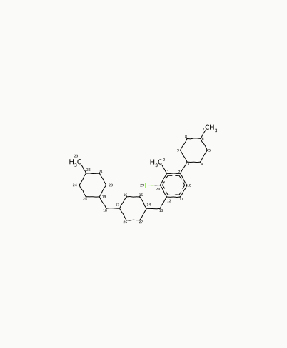 Cc1c(C2CCC(C)CC2)ccc(CC2CCC(CC3CCC(C)CC3)CC2)c1F